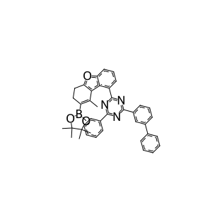 CC1=C(B2OC(C)(C)C(C)(C)O2)CCc2oc3cccc(-c4nc(-c5ccccc5)nc(-c5cccc(-c6ccccc6)c5)n4)c3c21